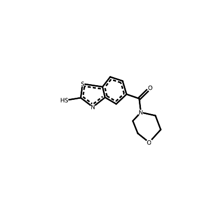 O=C(c1ccc2sc(S)nc2c1)N1CCOCC1